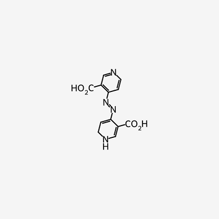 O=C(O)C1=CNCC=C1N=Nc1ccncc1C(=O)O